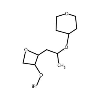 CC(C)OC1COC1CC(C)OC1CCOCC1